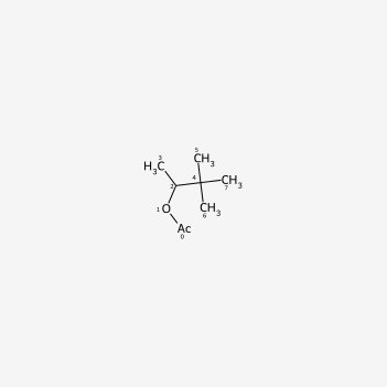 [CH2]C(=O)OC(C)C(C)(C)C